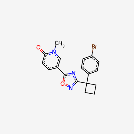 Cn1cc(-c2nc(C3(c4ccc(Br)cc4)CCC3)no2)ccc1=O